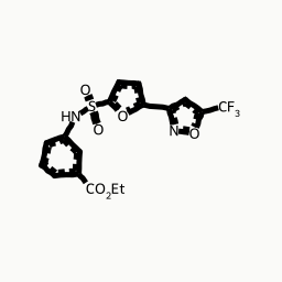 CCOC(=O)c1cccc(NS(=O)(=O)c2ccc(-c3cc(C(F)(F)F)on3)o2)c1